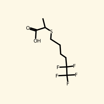 CC(SCCCCC(F)(F)C(F)(F)F)C(=O)O